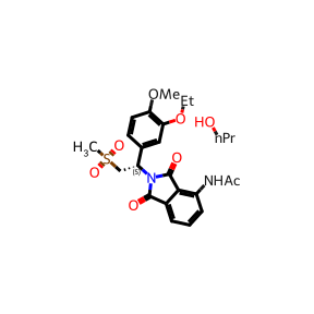 CCCO.CCOc1cc([C@@H](CS(C)(=O)=O)N2C(=O)c3cccc(NC(C)=O)c3C2=O)ccc1OC